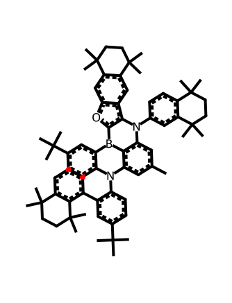 Cc1cc2c3c(c1)N(c1ccc4c(c1)C(C)(C)CCC4(C)C)c1c(oc4cc5c(cc14)C(C)(C)CCC5(C)C)B3c1cc(C(C)(C)C)ccc1N2c1ccc(C(C)(C)C)cc1-c1cccc2c1C(C)(C)CCC2(C)C